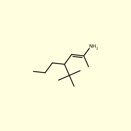 CCCC(/C=C(\C)N)C(C)(C)C